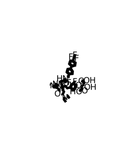 CCN(CC)CCN1C(=O)c2cn(C)nc2N(CC(=O)NCc2ccc(-c3ccc(C(F)(F)F)cc3)cc2)C1CCc1cccc(F)c1F.O=C(O)C(O)C(O)C(=O)O